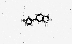 c1cc2cn[nH]c2cc1-c1cn[nH]c1